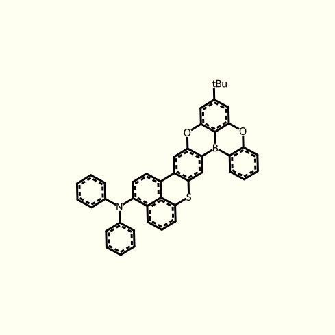 CC(C)(C)c1cc2c3c(c1)Oc1cc4c(cc1B3c1ccccc1O2)Sc1cccc2c(N(c3ccccc3)c3ccccc3)ccc-4c12